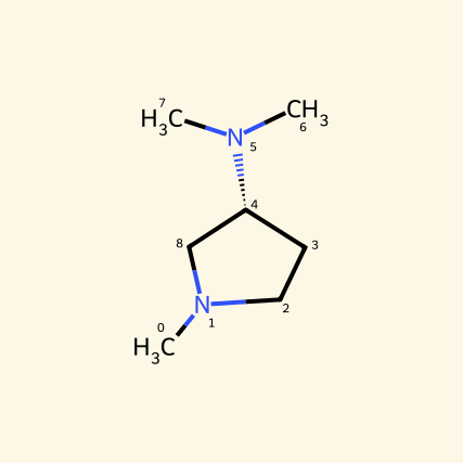 CN1CC[C@@H](N(C)C)C1